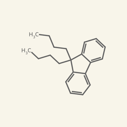 CCCCC1(CCCC)c2ccccc2-c2ccccc21